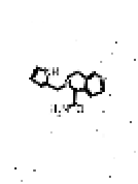 NC(=O)C1c2cc[c]cc2CCN1Cc1ccc[nH]1